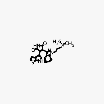 CN(C)CCCn1nc(C2=C(c3c[nH]c4sccc34)C(=O)NC2=O)c2ccccc21